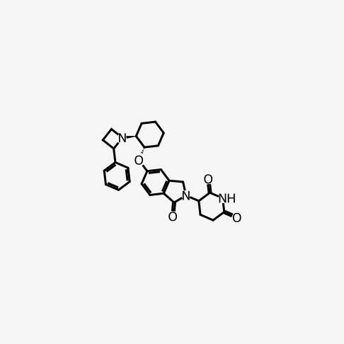 O=C1CCC(N2Cc3cc(O[C@H]4CCCC[C@@H]4N4CCC4c4ccccc4)ccc3C2=O)C(=O)N1